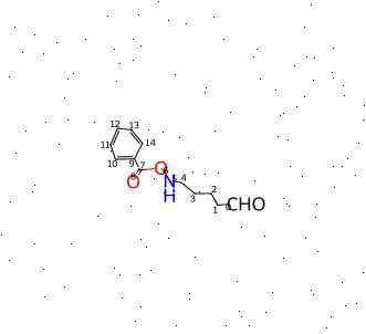 O=CCCCCNOC(=O)c1ccccc1